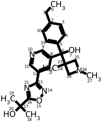 CCc1ccc(C(O)(c2cncc(-c3noc(C(C)(C)O)n3)c2)C2(C)CN(C)C2)cc1